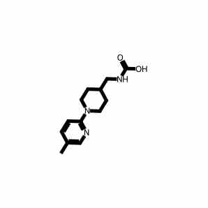 Cc1ccc(N2CCC(CNC(=O)O)CC2)nc1